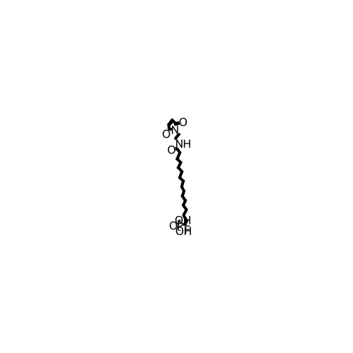 O=C(CCCCCCCCCCCCCCCC(F)P(=O)(O)O)NCCN1C(=O)C=CC1=O